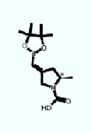 C[C@@H]1CC(=CB2OC(C)(C)C(C)(C)O2)CN1C(=O)O